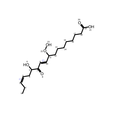 CC/C=C\CC(O)C(=O)/C=C/C(CCCCCCCC(=O)O)OO